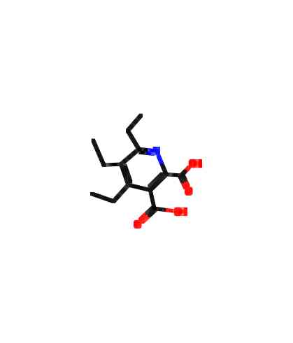 CCc1nc(C(=O)O)c(C(=O)O)c(CC)c1CC